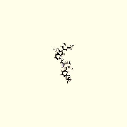 C=C1c2cccc(OC/C(N)=C/N(N)c3cccc(OC(F)(F)F)c3)c2CN1C(C=O)CCC=O